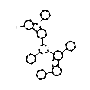 N#Cc1ccc2c(c1)c1cc(-c3nc(-c4ccccc4)nc(-c4cc(-c5ccccc5)cc5c4sc4c(-c6ccccc6)cccc45)n3)ccc1n2-c1ccccc1